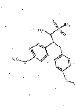 COc1ccc(CC(c2cnc(OC)cn2)C(C)S(N)(=O)=O)cc1